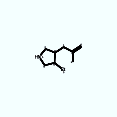 C=C(C)CC1CNCC1CC